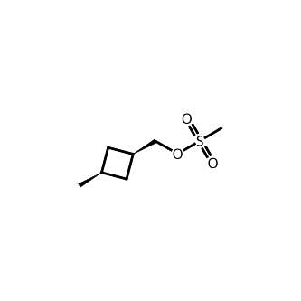 CS(=O)(=O)OC[C@H]1C[C@@H](C)C1